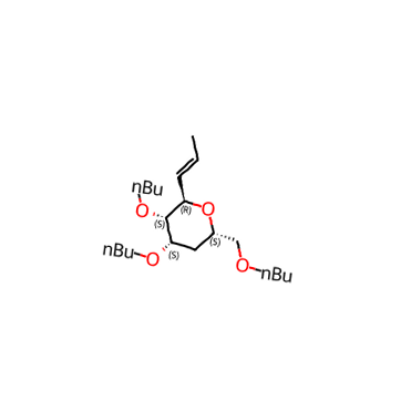 CC=C[C@H]1O[C@H](COCCCC)C[C@H](OCCCC)[C@@H]1OCCCC